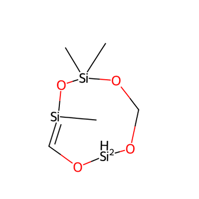 C/[Si]1=C\O[SiH2]OCO[Si](C)(C)O1